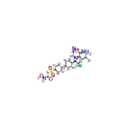 CON(C)C(=O)CS(=O)(=O)c1ccc(-c2ccc([C@H](N(CC#N)[C@@H](CC(C)C)C(N)=O)C(F)(F)F)cc2)cc1